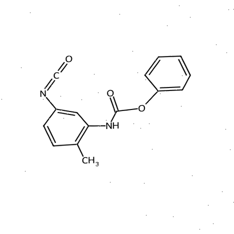 Cc1ccc(N=C=O)cc1NC(=O)Oc1ccccc1